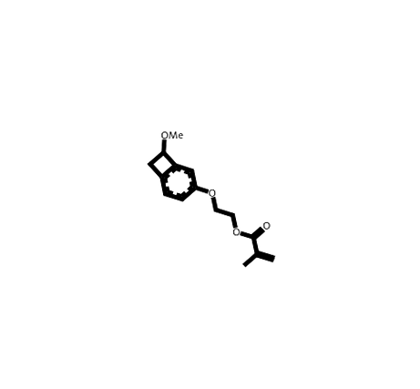 C=C(C)C(=O)OCCOc1ccc2c(c1)C(OC)C2